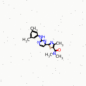 Cc1cc(C)cc(Nc2nccc(-c3nc(C)c(C(=O)N(C)C)s3)n2)c1